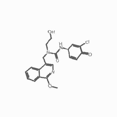 COc1ncc(CN(CCO)C(=O)N[C@@H]2C=CC(=O)C(Cl)=C2)c2ccccc12